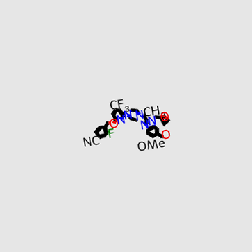 COC(=O)c1ccc2nc([C@H](C)N3CCN(c4cc(C(F)(F)F)cc(OCc5ccc(C#N)cc5F)n4)CC3)n(CC3CCO3)c2c1